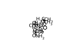 CC(C)(C)OC(=O)N[C@H](C(=O)N1C[C@H]2[C@@H]([C@H]1C(=O)NC(CC1CCC1)C(=O)C(N)=O)C2(Cl)Cl)C1CCCCC1